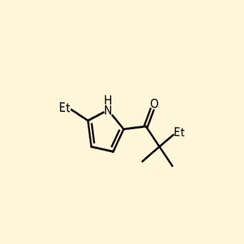 CCc1ccc(C(=O)C(C)(C)CC)[nH]1